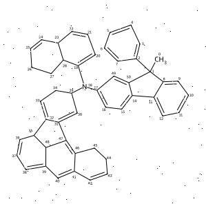 CC1(c2ccccc2)c2ccccc2-c2ccc(N(C3=CC=CC4C=CCCC34)C3C=C4C(=CC3)C3C=CC=C5C=C6C=CCCC6=C4C53)cc21